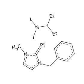 CCC(CC)N(I)I.Cn1ccn(Cc2ccccc2)[c]1=[Pt]